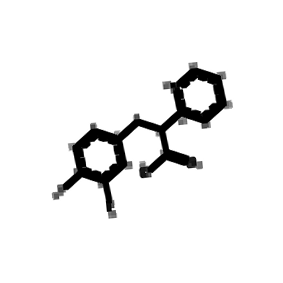 O=C(Cl)C(Cc1ccc(F)c(F)c1)c1ccccn1